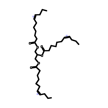 CCC/C=C\CCCCCC(=O)OCC(COC(=O)CCCCC/C=C\CCC)OC(=O)CCCCC/C=C\CCC